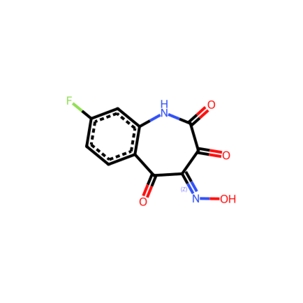 O=C1Nc2cc(F)ccc2C(=O)/C(=N/O)C1=O